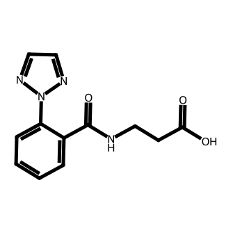 O=C(O)CCNC(=O)c1ccccc1-n1nccn1